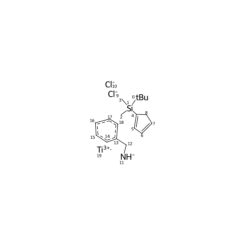 CC(C)(C)[Si](C)(C)C1=CC=CC1.[Cl-].[Cl-].[NH-]Cc1ccccc1.[Ti+3]